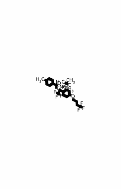 Cc1ccc(C(=O)C[C@](N[S+]([O-])C(C)(C)C)(c2ccc(OCCCC(F)(F)F)cc2)C(F)(F)F)cc1